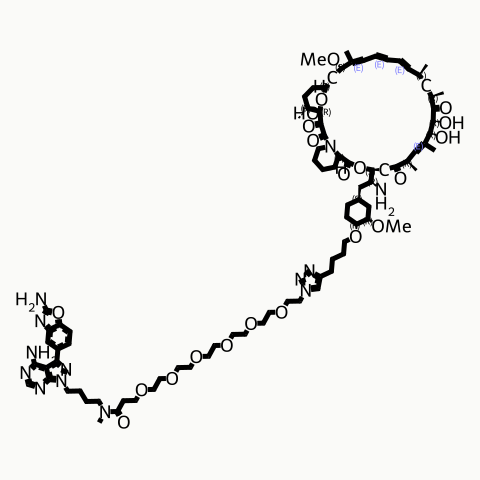 CO[C@H]1C[C@@H]2CC[C@@H](C)[C@@](O)(O2)C(=O)C(=O)N2CCCC[C@H]2C(=O)O[C@H]([C@H](N)C[C@@H]2CC[C@@H](OCCCCc3cn(CCOCCOCCOCCOCCOCCOCCC(=O)N(C)CCCCn4nc(-c5ccc6oc(N)nc6c5)c5c(N)ncnc54)nn3)[C@H](OC)C2)CC(=O)[C@H](C)/C=C(\C)[C@@H](O)[C@@H](O)C(=O)[C@H](C)C[C@H](C)/C=C/C=C/C=C/1C